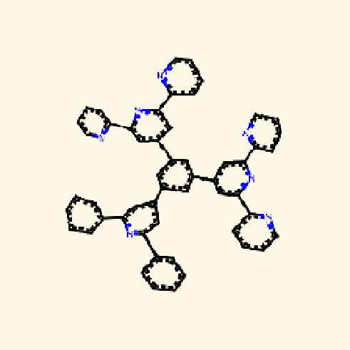 c1ccc(-c2cc(-c3cc(-c4cc(-c5ccccn5)nc(-c5ccccn5)c4)cc(-c4cc(-c5ccccn5)nc(-c5ccccn5)c4)c3)cc(-c3ccccc3)n2)cc1